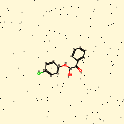 O=C(c1ccccc1)C(O)Oc1ccc(Cl)cc1